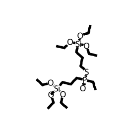 CCO[Si](CCCSP(=O)(CC)CCC[Si](OCC)(OCC)OCC)(OCC)OCC